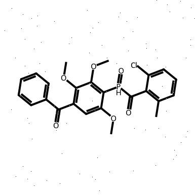 COc1cc(C(=O)c2ccccc2)c(OC)c(OC)c1[PH](=O)C(=O)c1c(C)cccc1Cl